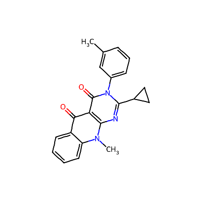 Cc1cccc(-n2c(C3CC3)nc3c(c(=O)c4ccccc4n3C)c2=O)c1